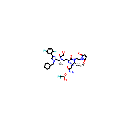 CC(C)(C)[C@H](c1nc(-c2cc(F)ccc2F)cn1Cc1ccccc1)N(CC[C@H](N)C(=O)N(CCN1C(=O)C=CC1=O)[C@@H](CCC(N)=O)C(=O)O)C(=O)CO.O=C(O)C(F)(F)F